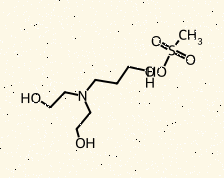 CS(=O)(=O)O.OCCCN(CCO)CCO